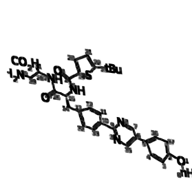 CCCCCCCOc1ccc(-c2cnc(-c3ccc(C[C@H](NC(=O)c4ccc(C(C)(C)C)s4)C(=O)N[C@@H](CN)C(=O)O)cc3)nc2)cc1